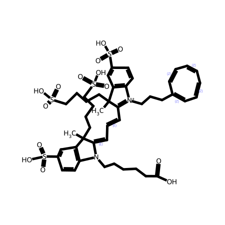 CC1(CCCCS(=O)(=O)O)C(/C=C/C=C2/N(CCCCCC(=O)O)c3ccc(S(=O)(=O)O)cc3C2(C)CCCCS(=O)(=O)O)=[N+](CCCC2=C/C=C\C=C/C=C\2)c2ccc(S(=O)(=O)O)cc21